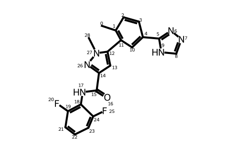 Cc1ccc(-c2nnc[nH]2)cc1-c1cc(C(=O)Nc2c(F)cccc2F)nn1C